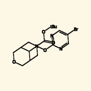 CC(C)(C)OC(=O)N1CC2COCC(C1)C2COc1ncc(Br)cn1